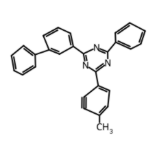 Cc1c#cc(-c2nc(-c3ccccc3)nc(-c3cccc(-c4ccccc4)c3)n2)cc1